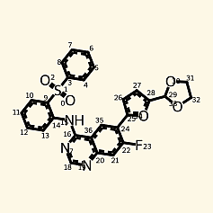 O=S(=O)(c1ccccc1)c1ccccc1Nc1ncnc2cc(F)c(-c3ccc(C4OCCO4)o3)cc12